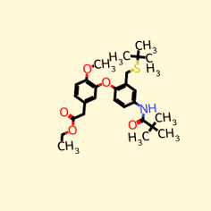 CCOC(=O)Cc1ccc(OC)c(Oc2ccc(NC(=O)C(C)(C)C)cc2CSC(C)(C)C)c1